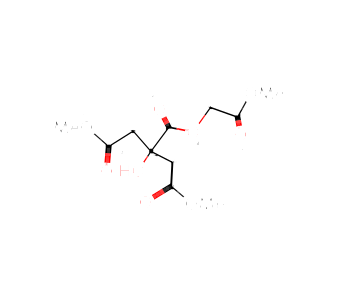 COC(=O)COC(=O)C(O)(CC(=O)OC)CC(=O)OC